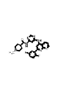 CN1CCC(C(=O)Nc2cc(Nc3cc(-c4cc(F)ccc4F)nc4ncccc34)ncn2)CC1